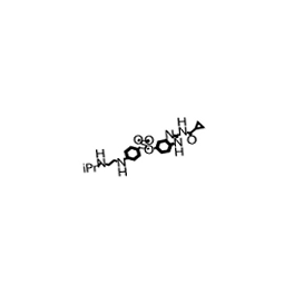 CC(C)NCCNc1ccc(S(=O)(=O)Oc2ccc3[nH]c(NC(=O)C4CC4)nc3c2)cc1